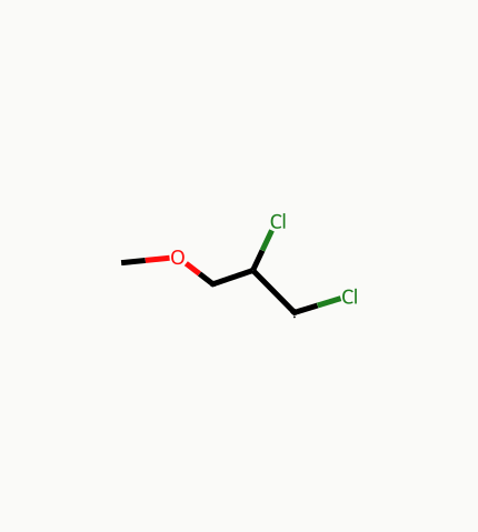 COCC(Cl)[CH]Cl